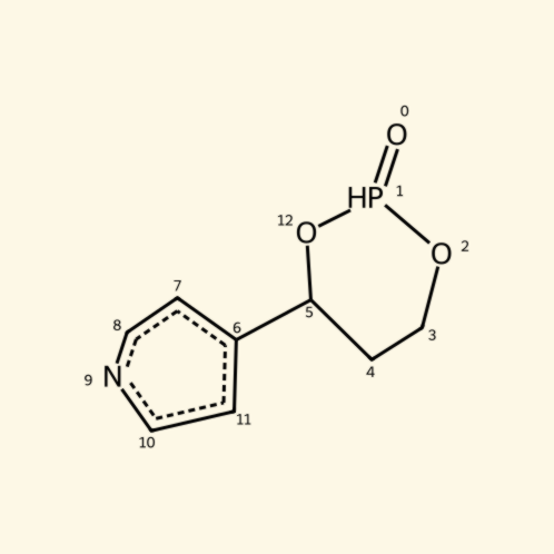 O=[PH]1OCCC(c2ccncc2)O1